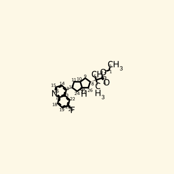 CCOC(=O)C(C)(C)[C@H]1CC2C[C@@H](c3ccnc4ccc(F)cc34)C[C@@H]2C1